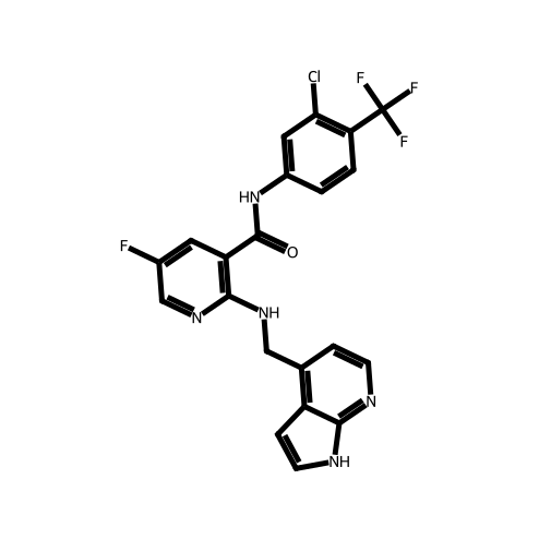 O=C(Nc1ccc(C(F)(F)F)c(Cl)c1)c1cc(F)cnc1NCc1ccnc2[nH]ccc12